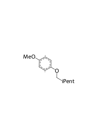 CCCC(C)COc1[c]cc(OC)[c]c1